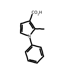 Cc1c(C(=O)O)ccn1-c1ccccc1